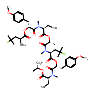 CN[C@@H](CC(C)(C)F)C(=O)O[C@H](Cc1ccc(OC(F)(F)F)cc1)C(=O)N(C)[C@@H](CC(C)(C)C)C(=O)O[C@H](C)C(=O)N(C)[C@@H](CC(C)(C)F)C(=O)O[C@H](Cc1ccc(OC(F)(F)F)cc1)C(=O)N(C)[C@@H](CC(C)(C)C)C(=O)O[C@H](C)C(=O)O